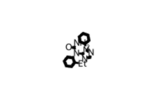 CCc1ccccc1N(C(N)=O)c1ncnn1-c1ccccc1